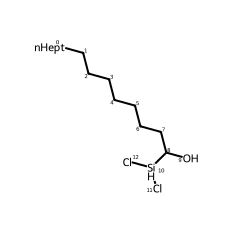 CCCCCCCCCCCCCCC(O)[SiH](Cl)Cl